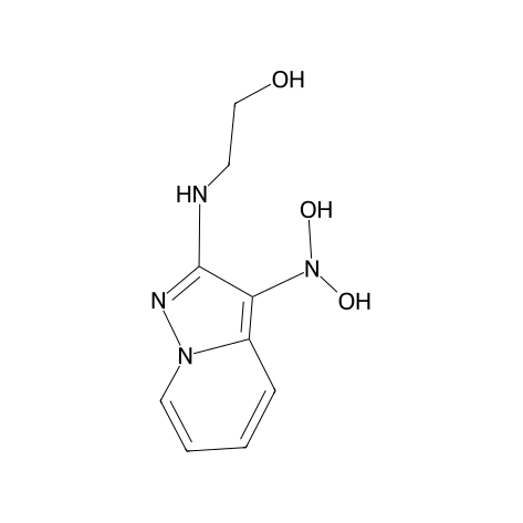 OCCNc1nn2ccccc2c1N(O)O